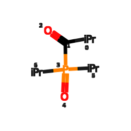 CC(C)C(=O)P(=O)(C(C)C)C(C)C